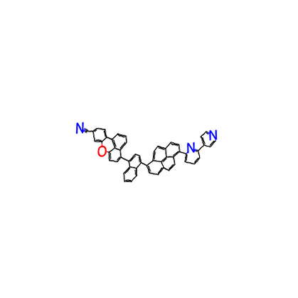 N#Cc1ccc2c(c1)Oc1ccc(-c3ccc(-c4ccc5ccc6c(-c7cccc(-c8ccncc8)n7)ccc7ccc4c5c76)c4ccccc34)c3cccc-2c13